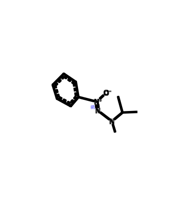 CC(C)N(C)/N=[N+](\[O-])c1ccccc1